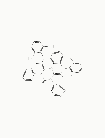 CC1=C2N(c3ccccc3)C(=O)N(c3ccccc3)C3=C(C)B(c4c(C)cccc4C)c4cccc(c4N23)B1c1c(C)cccc1C